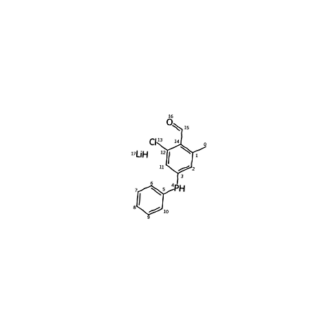 Cc1cc(Pc2ccccc2)cc(Cl)c1C=O.[LiH]